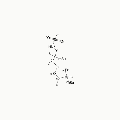 CCCCC(C)(CNS(C)(=O)=O)C(C)COC(C)C(C)(CCCC)C(C)C